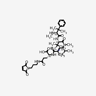 CN[C@H](C(=O)N[C@H](C(=O)N(C)[C@H](/C=C(\C)C(=O)N[C@H](CCC(=O)NCCCN1C(=O)C=CC1=O)C(=O)O)C(C)C)C(C)(C)C)C(C)(C)c1ccccc1